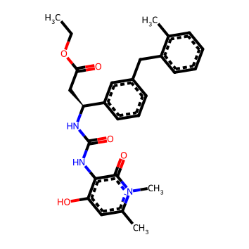 CCOC(=O)C[C@H](NC(=O)Nc1c(O)cc(C)n(C)c1=O)c1cccc(Cc2ccccc2C)c1